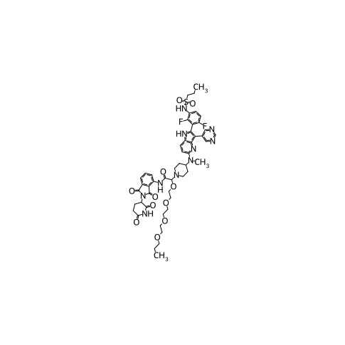 CCCOCCOCCOCCOC(C(=O)Nc1cccc2c1C(=O)N(C1CCC(=O)NC1=O)C2=O)N1CCC(N(C)c2ccc3[nH]c(-c4c(F)ccc(NS(=O)(=O)CCC)c4F)c(-c4cncnc4)c3n2)CC1